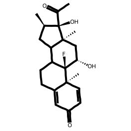 CC(=O)[C@@]1(O)[C@H](C)CC2C3CCC4=CC(=O)C=C[C@]4(C)[C@@]3(F)[C@@H](O)C[C@@]21C